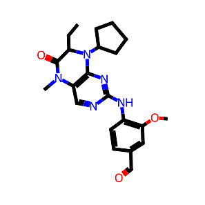 CCC1C(=O)N(C)c2cnc(Nc3ccc(C=O)cc3OC)nc2N1C1CCCC1